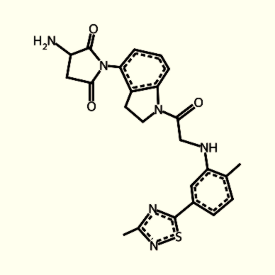 Cc1nsc(-c2ccc(C)c(NCC(=O)N3CCc4c3cccc4N3C(=O)CC(N)C3=O)c2)n1